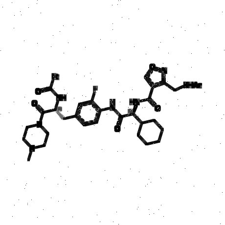 CCC(=O)N[C@H](Cc1ccc(NC(=O)[C@@H](NC(=O)c2conc2CNC(C)=O)C2CCCCC2)c(F)c1)C(=O)N1CCN(C)CC1